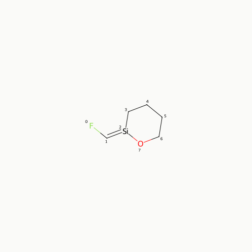 FC=[Si]1CCCCO1